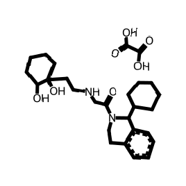 O=C(CNCCC1(O)CCCCC1O)N1CCc2ccccc2C1C1CCCCC1.O=C(O)C(=O)O